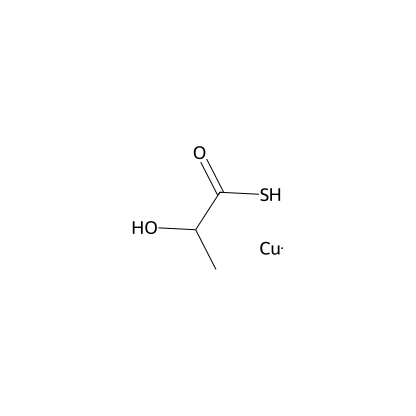 CC(O)C(=O)S.[Cu]